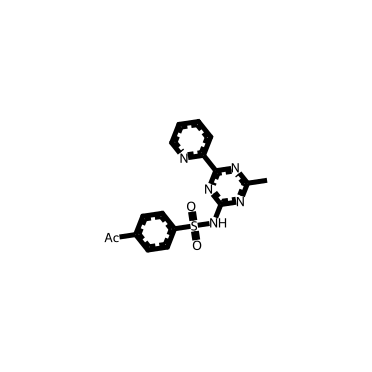 CC(=O)c1ccc(S(=O)(=O)Nc2nc(C)nc(-c3ccccn3)n2)cc1